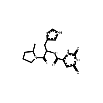 CC1CCCN1C(=O)C(Cc1c[nH]cn1)NC(=O)c1cc(=O)[nH]c(=O)[nH]1